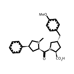 COc1ccc(C[C@@H]2C[C@@H](C(=O)O)N(C(=O)[C@H]3C[C@@H](c4ccccc4)CN3C)C2)cc1